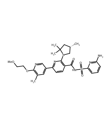 COCCOc1ncc(-c2ccc(C(=O)NS(=O)(=O)c3cccc(N)n3)c(N3C[C@@H](C)CC3(C)C)n2)cc1C